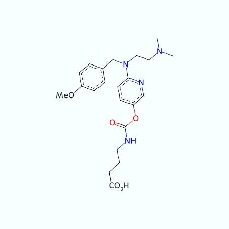 COc1ccc(CN(CCN(C)C)c2ccc(OC(=O)NCCCC(=O)O)cn2)cc1